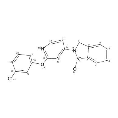 [O-][S+]1c2ccccc2CN1c1ccnc(Oc2cccc(Cl)c2)n1